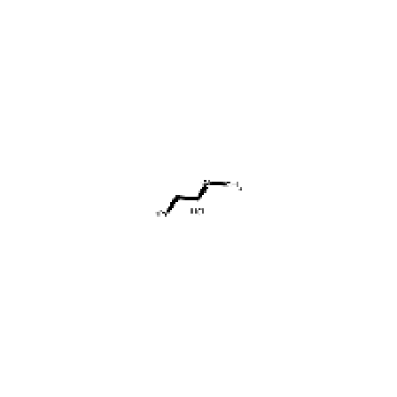 CCCC[CH2][Al][CH3].Cl